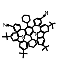 CC(C)(C)c1ccc2c(c1)c1c(n2-c2c(-c3ccc(C#N)cc3)c(C3CCCCC3)c(-c3ccc(C#N)cc3)c(-n3c4ccc(C(C)(C)C)cc4c4cc(C(C)(C)C)ccc43)c2C2CCCCC2)C=CC(C(C)(C)C)C1